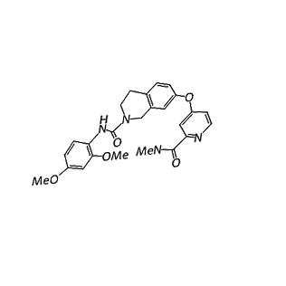 CNC(=O)c1cc(Oc2ccc3c(c2)CN(C(=O)Nc2ccc(OC)cc2OC)CC3)ccn1